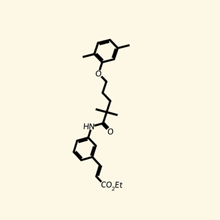 CCOC(=O)/C=C/c1cccc(NC(=O)C(C)(C)CCCOc2cc(C)ccc2C)c1